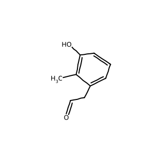 Cc1c(O)cccc1CC=O